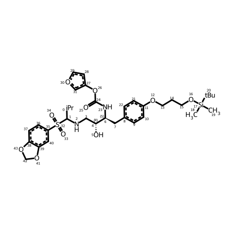 CC(C)C(NC[C@@H](O)[C@H](Cc1ccc(OCCCO[Si](C)(C)C(C)(C)C)cc1)NC(=O)Oc1ccoc1)S(=O)(=O)c1ccc2c(c1)OCO2